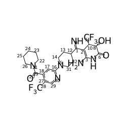 N=C(C1=C(N)NC(=O)[C@H](O)[C@@H]1C(F)(F)F)C1CCN(c2cc(C(=O)N3CCCCC3)c(C(F)(F)F)cn2)CC1